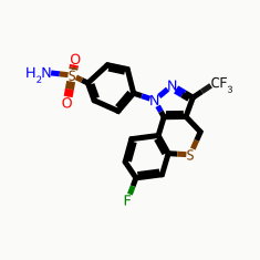 NS(=O)(=O)c1ccc(-n2nc(C(F)(F)F)c3c2-c2ccc(F)cc2SC3)cc1